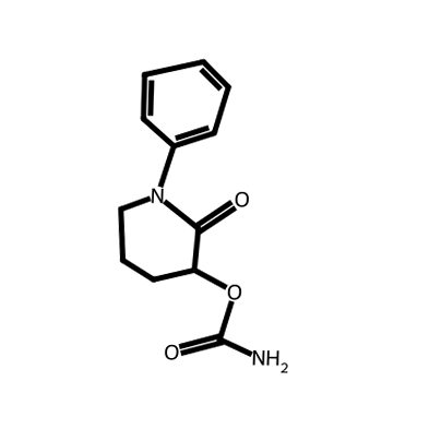 NC(=O)OC1CCCN(c2ccccc2)C1=O